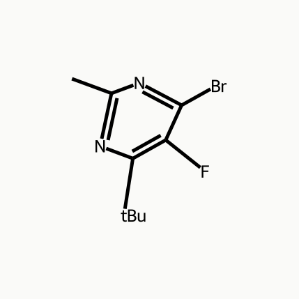 Cc1nc(Br)c(F)c(C(C)(C)C)n1